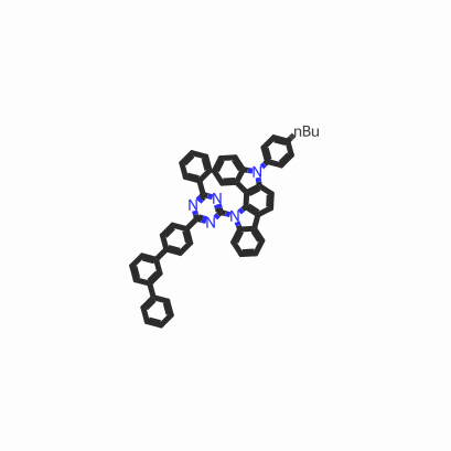 CCCCc1ccc(-n2c3ccccc3c3c2ccc2c4ccccc4n(-c4nc(-c5ccccc5)nc(-c5ccc(-c6cccc(-c7ccccc7)c6)cc5)n4)c23)cc1